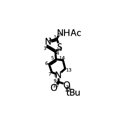 CC(=O)Nc1ncc(C2=CCN(C(=O)OC(C)(C)C)CC2)s1